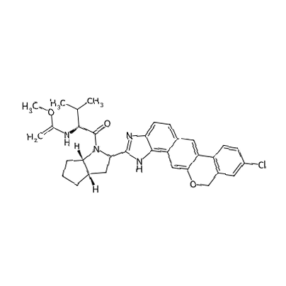 C=C(N[C@H](C(=O)N1C(c2nc3ccc4cc5c(cc4c3[nH]2)OCc2cc(Cl)ccc2-5)C[C@@H]2CCC[C@@H]21)C(C)C)OC